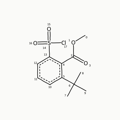 COC(=O)c1c(C(C)(C)C)cccc1S(=O)(=O)Cl